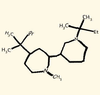 CCC(C)(C)N1CCCC(C2CC(C(C)(C)C(C)C)CCN2C)C1